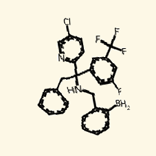 Bc1ccccc1CNC(Cc1ccccc1)(c1cc(F)cc(C(F)(F)F)c1)c1ccc(Cl)cn1